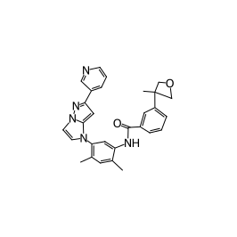 Cc1cc(C)c(-n2ccn3nc(-c4cccnc4)cc23)cc1NC(=O)c1cccc(C2(C)COC2)c1